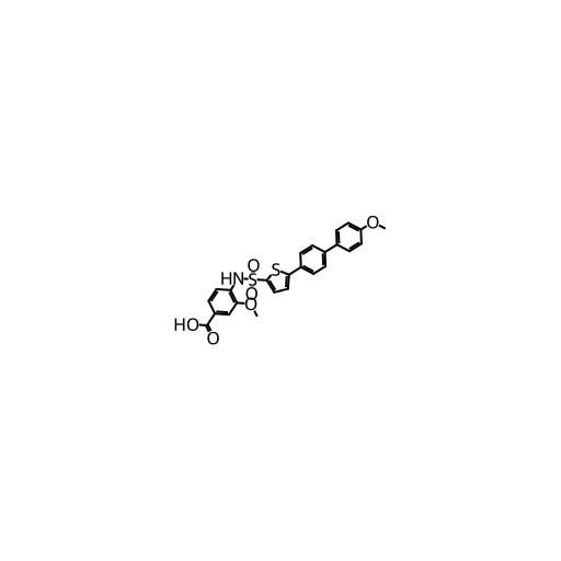 COc1ccc(-c2ccc(-c3ccc(S(=O)(=O)Nc4ccc(C(=O)O)cc4OC)s3)cc2)cc1